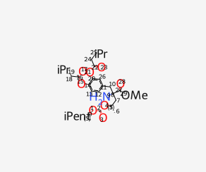 CCC[C@H](C)OC(=O)O[C@@H](C)CC(N)(Cc1ccc(OC(=O)CC(C)C)c(OC(=O)CC(C)C)c1)C(=O)OC